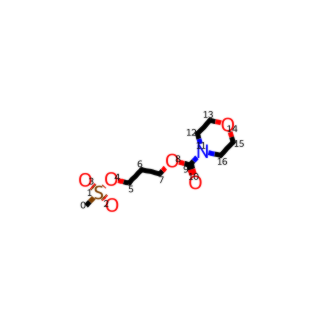 CS(=O)(=O)OCCCOC(=O)N1CCOCC1